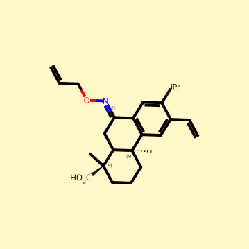 C=CCO/N=C1\CC2[C@](C)(C(=O)O)CCC[C@]2(C)c2cc(C=C)c(C(C)C)cc21